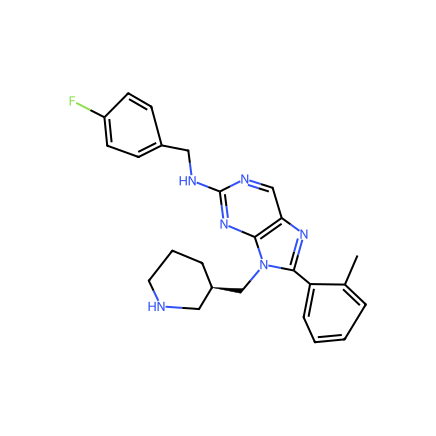 Cc1ccccc1-c1nc2cnc(NCc3ccc(F)cc3)nc2n1C[C@@H]1CCCNC1